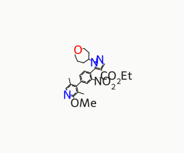 CCOC(=O)c1cnn(C2CCCOCC2)c1-c1ccc(-c2c(C)cnc(OC)c2C)cc1[N+](=O)[O-]